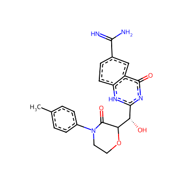 Cc1ccc(N2CCOC([C@@H](O)c3nc(=O)c4cc(C(=N)N)ccc4[nH]3)C2=O)cc1